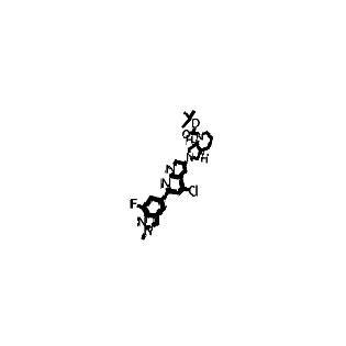 Cn1cc2cc(-c3cc(Cl)c4cc(N5C[C@@H]6CCCN(C(=O)OC(C)(C)C)[C@@H]6C5)cnc4n3)cc(F)c2n1